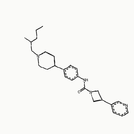 CCCC(C)CN1CCC(c2ccc(NC(=O)N3CC(c4cccnc4)C3)cc2)CC1